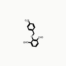 O=Cc1cccc(C=O)c1OCc1ccc([N+](=O)[O-])cc1